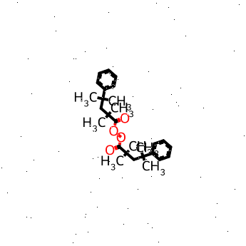 CC(C)(CC(C)(C)c1ccccc1)C(=O)OOC(=O)C(C)(C)CC(C)(C)c1ccccc1